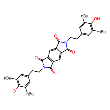 CCCCc1cc(CCn2c(=O)c3cc4c(=O)n(CCc5cc(CCCC)c(O)c(CCCC)c5)c(=O)c4cc3c2=O)cc(CCCC)c1O